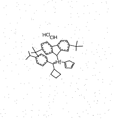 CC(C)c1ccc(/[C](C2CCC2)=[Hf](/[C]2=CC=CC2)[CH]2c3cc(C(C)(C)C)ccc3-c3ccc(C(C)(C)C)cc32)cc1.Cl.Cl